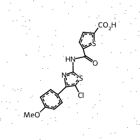 COc1ccc(-c2nc(NC(=O)c3ccc(C(=O)O)s3)sc2Cl)cc1